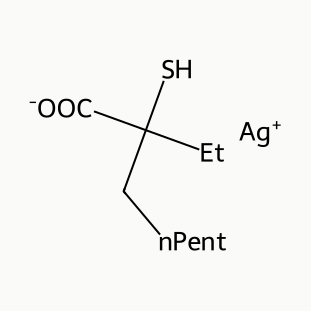 CCCCCCC(S)(CC)C(=O)[O-].[Ag+]